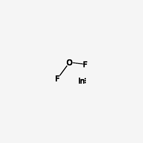 FOF.[In]